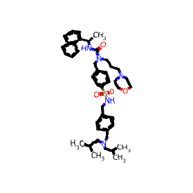 CC(C)CN(Cc1ccc(CNS(=O)(=O)c2ccc(CN(CCCN3CCOCC3)C(=O)NC(C)c3cccc4ccccc34)cc2)cc1)CC(C)C